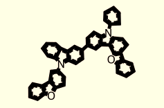 c1ccc(-n2c3ccc(-c4ccc5c(c4)c4ccccc4n5-c4ccc5oc6ccccc6c5c4)cc3c3c4oc5ccccc5c4ccc32)cc1